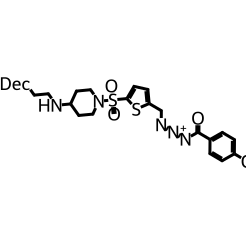 CCCCCCCCCCCCNC1CCN(S(=O)(=O)c2ccc(CN=[N+]=NC(=O)c3ccc(Cl)cc3)s2)CC1